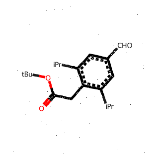 CC(C)c1cc(C=O)cc(C(C)C)c1CC(=O)OC(C)(C)C